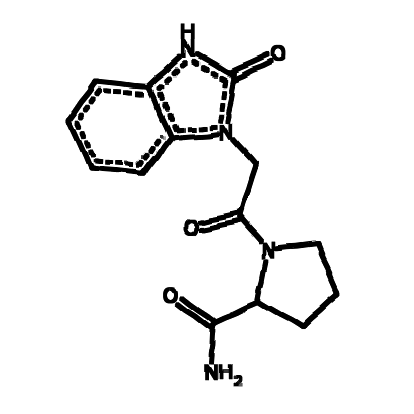 NC(=O)C1CCCN1C(=O)Cn1c(=O)[nH]c2ccccc21